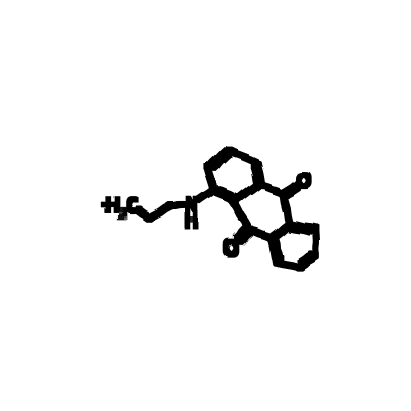 [CH2]CCNc1cccc2c1C(=O)c1ccccc1C2=O